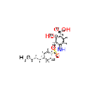 CCCCc1ccc(S(=O)(=O)Nc2ccc(C(=O)O)c(O)c2)cc1